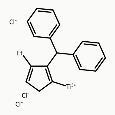 CCC1=CC[C]([Ti+3])=C1C(c1ccccc1)c1ccccc1.[Cl-].[Cl-].[Cl-]